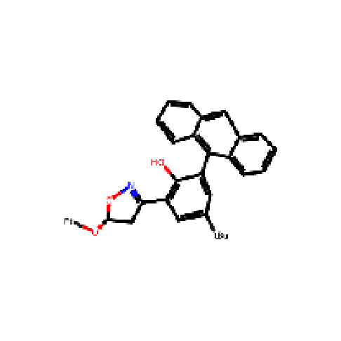 CCOC1CC(c2cc(C(C)(C)C)cc(-c3c4ccccc4cc4ccccc34)c2O)=NO1